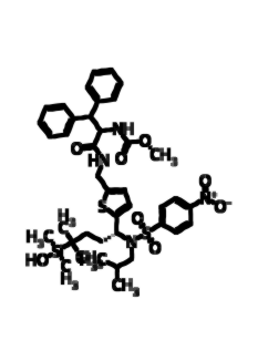 COC(=O)NC(C(=O)NCc1ccc([C@@H](CCC(C)(C)[Si](C)(C)O)N(CC(C)C)S(=O)(=O)c2ccc([N+](=O)[O-])cc2)s1)C(c1ccccc1)c1ccccc1